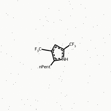 CCCCCc1[nH]c(C(F)(F)F)cc1C(F)(F)F